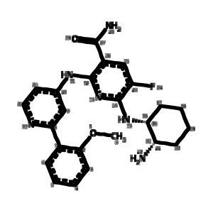 COc1ccccc1-c1cc(Nc2nc(N[C@@H]3CCCC[C@@H]3N)c(F)cc2C(N)=O)ccn1